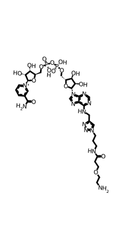 NCCOCCC(=O)NCCCn1cc(CNc2ncnc3c2ncn3[C@@H]2O[C@H](COP(=O)(O)OP(=O)(O)OC[C@H]3O[C@@H]([n+]4cccc(C(N)=O)c4)[C@H](O)[C@@H]3O)[C@@H](O)[C@H]2O)nn1